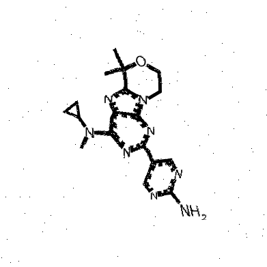 CN(c1nc(-c2cnc(N)nc2)nc2c1nc1n2CCOC1(C)C)C1CC1